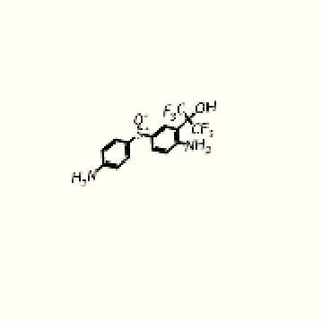 Nc1ccc([S+]([O-])c2ccc(N)c(C(O)(C(F)(F)F)C(F)(F)F)c2)cc1